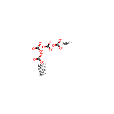 [Mg+2].[Mg+2].[Mg+2].[O-]B([O-])[O-].[O-]B([O-])[O-].[O-]B([O-])[O-].[O-]B([O-])[O-].[Zn+2].[Zn+2].[Zn+2]